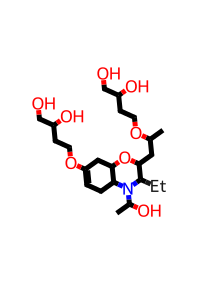 CCC1C(CC(C)OCCC(O)CO)OC2CC(OCCC(O)CO)=CCC2N1C(C)O